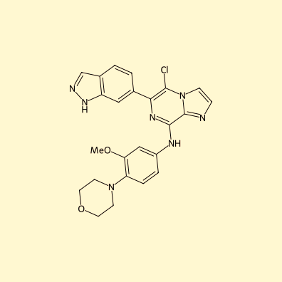 COc1cc(Nc2nc(-c3ccc4cn[nH]c4c3)c(Cl)n3ccnc23)ccc1N1CCOCC1